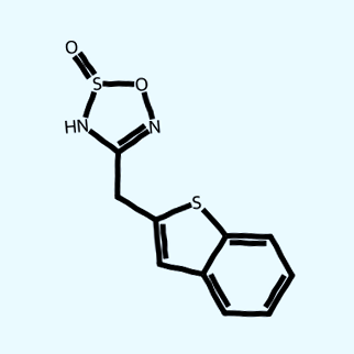 O=S1NC(Cc2cc3ccccc3s2)=NO1